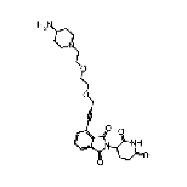 NC1CCN(CCOCCOCC#Cc2cccc3c2C(=O)N(C2CCC(=O)NC2=O)C3=O)CC1